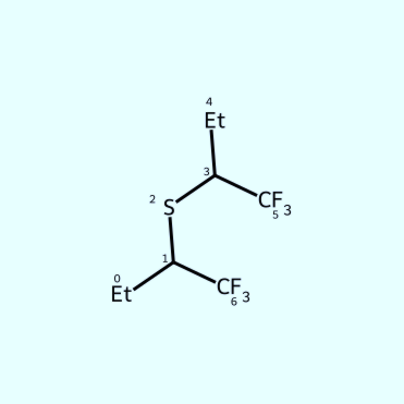 CCC(SC(CC)C(F)(F)F)C(F)(F)F